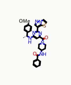 COc1ccc([C@@H](C)Nc2cc(C(=O)N3CCC(NC(=O)c4ccccc4)CC3)nc(-c3cnn4ccsc34)n2)cc1